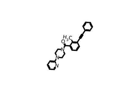 Cc1c(C#Cc2ccccc2)cccc1C(=O)N1CCN(c2ccccn2)CC1